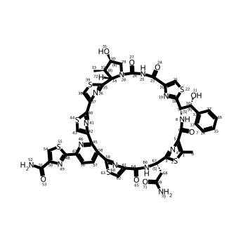 Cc1sc2nc1C(=O)N[C@@H]([C@H](O)c1ccccc1)c1nc(cs1)C(=O)NC(=O)N1C[C@H](O)[C@H](C)[C@H]1c1nc(cs1)-c1nc(cs1)-c1nc(-c3nc(C(N)=O)cs3)ccc1-c1nc(cs1)C(=O)N[C@H]2CC(N)=O